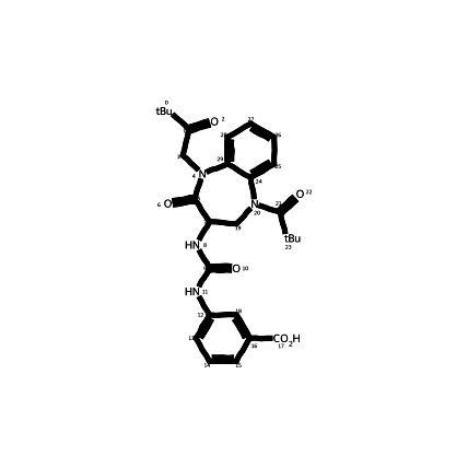 CC(C)(C)C(=O)CN1C(=O)C(NC(=O)Nc2cccc(C(=O)O)c2)CN(C(=O)C(C)(C)C)c2ccccc21